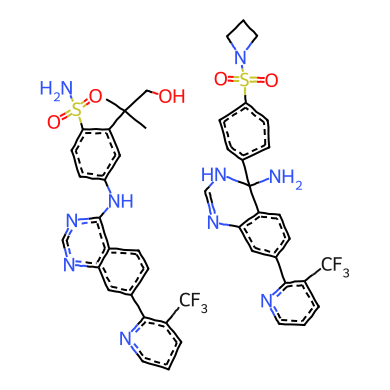 CC(C)(CO)c1cc(Nc2ncnc3cc(-c4ncccc4C(F)(F)F)ccc23)ccc1S(N)(=O)=O.NC1(c2ccc(S(=O)(=O)N3CCC3)cc2)NC=Nc2cc(-c3ncccc3C(F)(F)F)ccc21